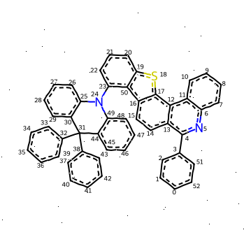 c1ccc(-c2nc3ccccc3c3c2ccc2c3sc3cccc(N4c5ccccc5C(c5ccccc5)(c5ccccc5)c5ccccc54)c32)cc1